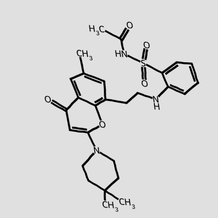 CC(=O)NS(=O)(=O)c1ccccc1NCCc1cc(C)cc2c(=O)cc(N3CCC(C)(C)CC3)oc12